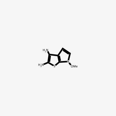 COn1ccc2c(N)c(N)sc21